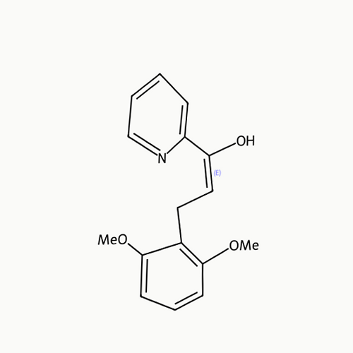 COc1cccc(OC)c1C/C=C(/O)c1ccccn1